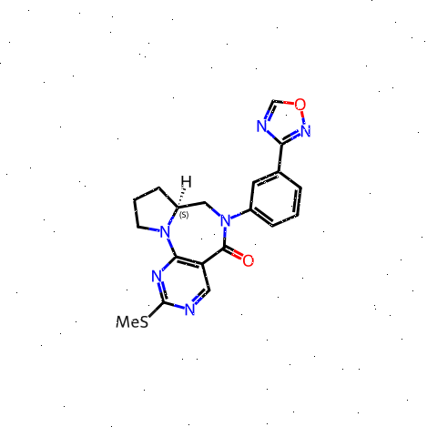 CSc1ncc2c(n1)N1CCC[C@H]1CN(c1cccc(-c3ncon3)c1)C2=O